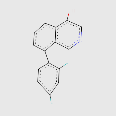 Oc1cncc2c(-c3ccc(F)cc3F)cccc12